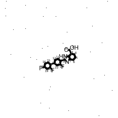 O=C(O)c1cccc2nc(-c3ccc(-c4ccc(F)cc4F)cc3F)[nH]c12